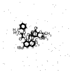 Cc1ccccc1OC(C)C(=O)O[C@H]1C[C@H](C(C)(C)C)C=C2C=C[C@H](C)[C@](CC[C@@H]3C[C@H](C(C)(C)C)C(O[SiH](C)C)C(=O)O3)(O[SiH](C)C)[C@H]21